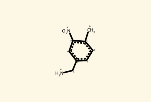 Cc1ccc(CN)cc1[N+](=O)[O-]